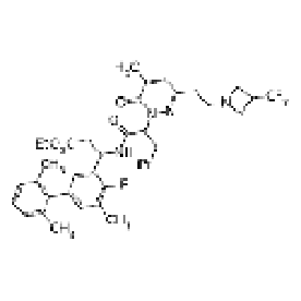 CCOC(=O)CC(NC(=O)C(CC(C)C)n1nc(CCN2CC(C(F)(F)F)C2)cc(C)c1=O)c1cc(-c2c(C)cccc2C)cc(C)c1F